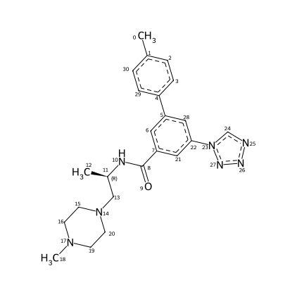 Cc1ccc(-c2cc(C(=O)N[C@H](C)CN3CCN(C)CC3)cc(-n3cnnn3)c2)cc1